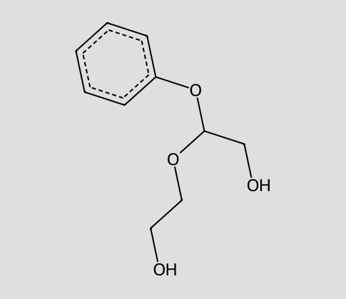 OCCOC(CO)Oc1ccccc1